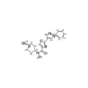 CC(C)N(C(=O)c1csc(-c2cnn(-c3ccccc3)c2)n1)C1CCN(C(C)(C)C)CC1